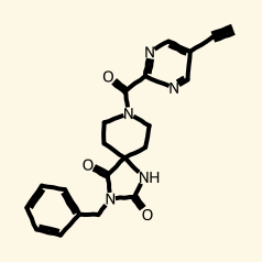 C#Cc1cnc(C(=O)N2CCC3(CC2)NC(=O)N(Cc2ccccc2)C3=O)nc1